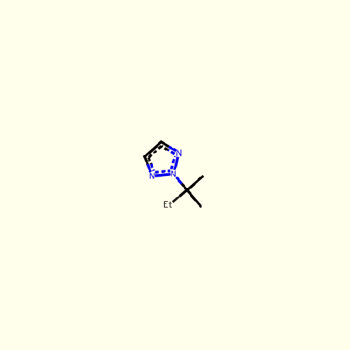 CCC(C)(C)n1nccn1